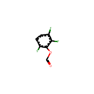 O=COc1c(F)ccc(F)c1F